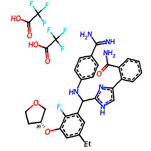 CCc1cc(O[C@@H]2CCOC2)c(F)c(C(Nc2ccc(C(=N)N)cc2)c2nc(-c3ccccc3C(N)=O)c[nH]2)c1.O=C(O)C(F)(F)F.O=C(O)C(F)(F)F